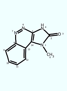 Cn1c(=O)[nH]c2nnc3ccccc3c21